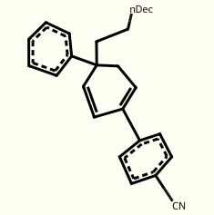 CCCCCCCCCCCCC1(c2ccccc2)C=CC(c2ccc(C#N)cc2)=CC1